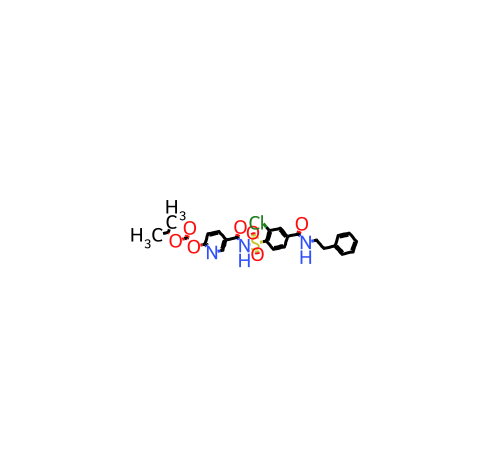 CC(C)OC(=O)Oc1ccc(C(=O)NS(=O)(=O)c2ccc(C(=O)NCCc3ccccc3)cc2Cl)cn1